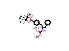 CC(C)(C)OC(=O)N[C@@](Cc1ccccc1)(Cc1ccc(B2OC(C)(C)C(C)(C)O2)cc1)C(=O)O